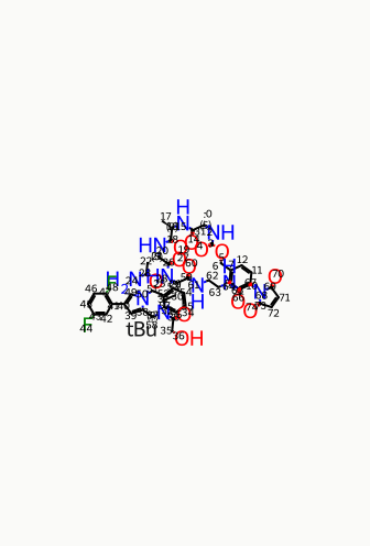 C[C@H](NC(=O)OCc1ccccc1)C(=O)N[C@H](C)C(=O)N[C@@H](CC(N)=O)C(=O)N[C@@H](CCN(C(=O)CO)[C@@H](c1cc(-c2cc(F)ccc2F)cn1Cc1ccccc1)C(C)(C)C)C(=O)NCCNC(=O)CN1C(=O)C=CC1=O